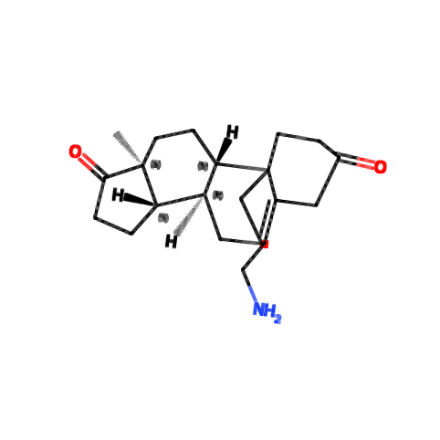 C[C@]12CC[C@H]3[C@@H](CC=C4CC(=O)CCC43CCCN)[C@@H]1CCC2=O